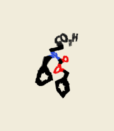 O=C(O)CCN(Cc1ccccc1)C(=O)OCc1ccccc1